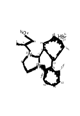 Br.CC(CO)N1CCN2c3ccccc3-c3ccccc3C21